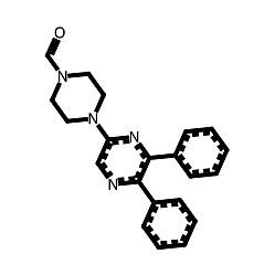 O=CN1CCN(c2cnc(-c3ccccc3)c(-c3ccccc3)n2)CC1